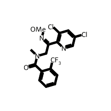 CON=C(CN(C)C(=O)c1ccccc1C(F)(F)F)c1ncc(Cl)cc1Cl